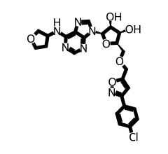 O[C@@H]1[C@H](O)[C@H](n2cnc3c(NC4CCOC4)ncnc32)O[C@@H]1COCc1cc(-c2ccc(Cl)cc2)no1